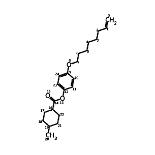 C=CCCCCCCOc1ccc(OC(=O)C2CCC(C)CC2)cc1